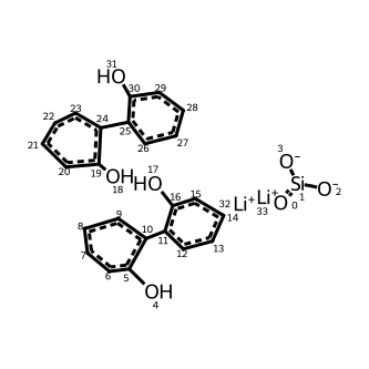 O=[Si]([O-])[O-].Oc1ccccc1-c1ccccc1O.Oc1ccccc1-c1ccccc1O.[Li+].[Li+]